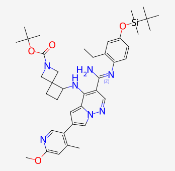 CCc1cc(O[Si](C)(C)C(C)(C)C)ccc1/N=C(\N)c1cnn2cc(-c3cnc(OC)cc3C)cc2c1NC1CCC12CN(C(=O)OC(C)(C)C)C2